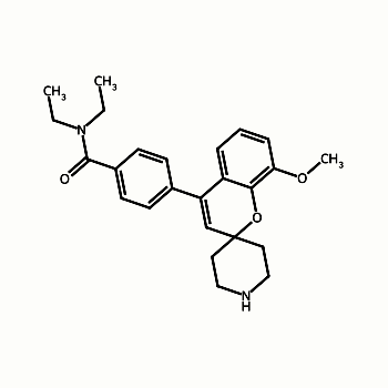 CCN(CC)C(=O)c1ccc(C2=CC3(CCNCC3)Oc3c(OC)cccc32)cc1